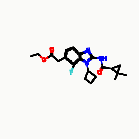 CCOC(=O)Cc1ccc2nc(NC(=O)[C@H]3CC3(C)C)n(C3CCC3)c2c1F